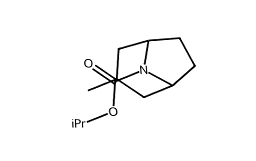 CC1CC2CCC(C1)N2C(=O)OC(C)C